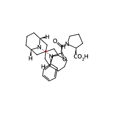 O=C(O)[C@@H]1CCCN1C(=O)C(=O)N(c1ccccc1)[C@H]1C[C@H]2CCC[C@@H](C1)N2[C@H]1C[C@@H]2CCC[C@@H](C2)C1